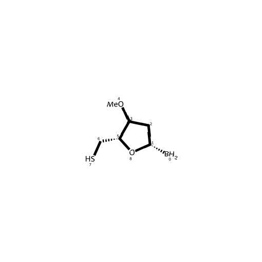 B[C@H]1CC(OC)[C@@H](CS)O1